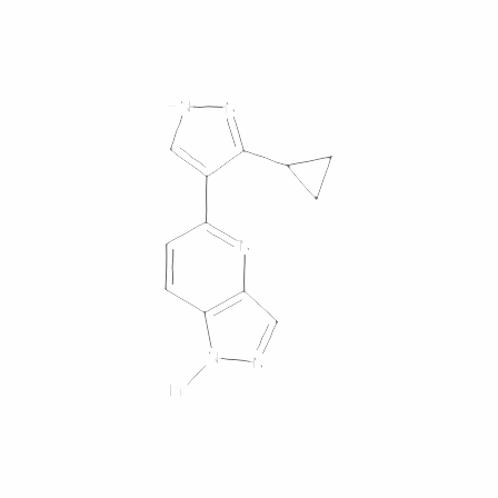 CC(C)n1ncc2nc(-c3c[nH]nc3C3CC3)ccc21